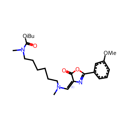 COc1cccc(C2=N/C(=C/N(C)CCCCCCN(C)C(=O)OCC(C)C)C(=O)O2)c1